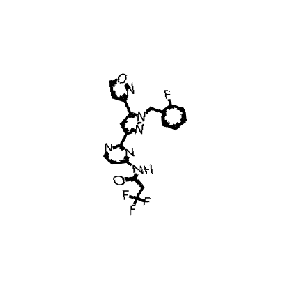 O=C(CC(F)(F)F)Nc1ccnc(-c2cc(-c3ccon3)n(Cc3ccccc3F)n2)n1